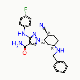 N#C[C@H]1CC[C@@H](NCc2ccccc2)C[C@@H]1n1cc(C(N)=O)c(Nc2ccc(F)cc2)n1